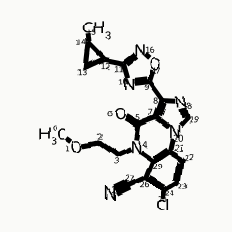 COCCn1c(=O)c2c(-c3nc(C4CC4C)no3)ncn2c2ccc(Cl)c(C#N)c21